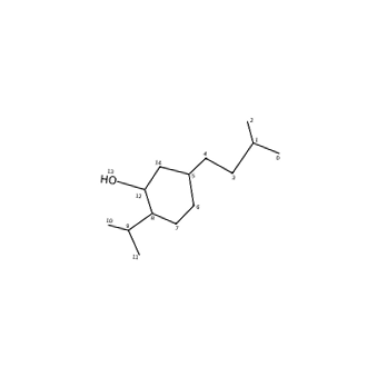 CC(C)CCC1CCC(C(C)C)C(O)C1